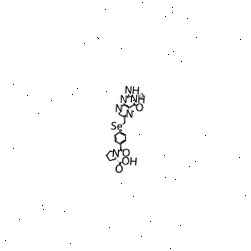 Nc1nc2ncc(C[Se]c3ccc(C(=O)N4CCC[C@H]4C(=O)O)cc3)nc2c(=O)[nH]1